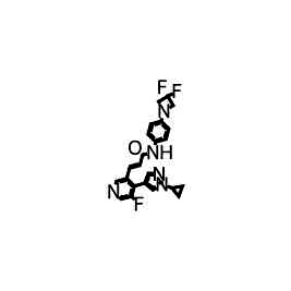 O=C(/C=C/c1cncc(F)c1-c1cnn(C2CC2)c1)Nc1ccc(N2CC(F)(F)C2)cc1